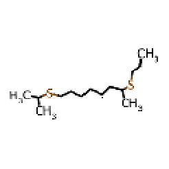 CCCSC(C)C[CH]CCCCSC(C)C